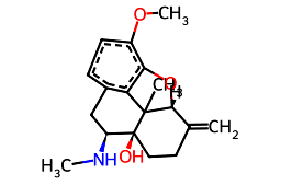 C=C1CC[C@]2(O)[C@@H](NC)Cc3ccc(OC)c4c3C2(C)[C@@H]1O4